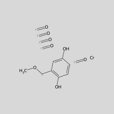 CO[C]c1cc(O)ccc1O.[C]=O.[C]=O.[C]=O.[C]=O.[C]=O.[Cr]